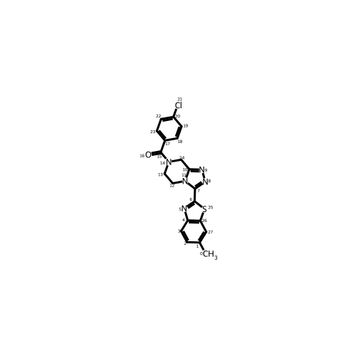 Cc1ccc2nc(-c3nnc4n3CCN(C(=O)c3ccc(Cl)cc3)C4)sc2c1